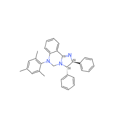 Cc1cc(C)c(N2CN3C(=N[C@@H](c4ccccc4)[C@@H]3c3ccccc3)c3ccccc32)c(C)c1